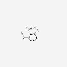 C[Si](C)(C)c1cccc(C(N)=O)c1[Si](C)(C)C